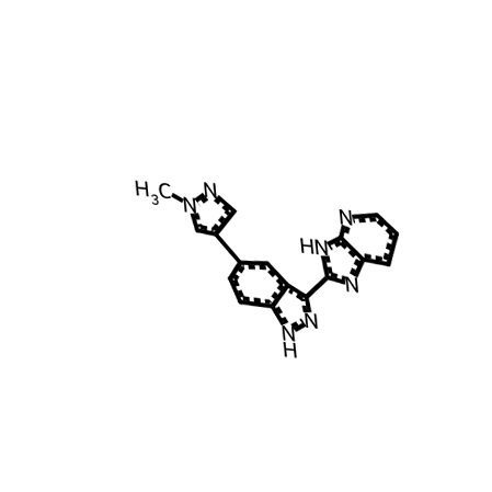 Cn1cc(-c2ccc3[nH]nc(-c4nc5cccnc5[nH]4)c3c2)cn1